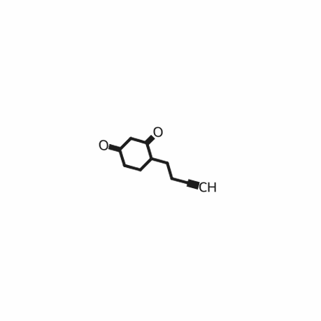 C#CCCC1CCC(=O)CC1=O